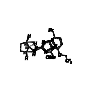 COc1cc(N2C[C@H]3CC[C@@H](C2)[C@@H]3Nc2nc3c(C(C)C)ccc(OCC(F)(F)F)n3n2)cnn1